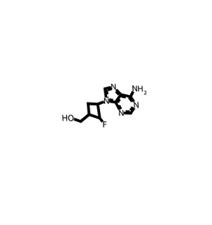 Nc1ncnc2c1ncn2C1CC(CO)C1F